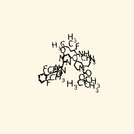 CNC[C@H](F)C[C@H](C)[C@H](C)Oc1cc(O[C@H]2CCN(C(=O)OC(C)(C)C)[C@H](CC#N)C2)nc(-c2noc(C(C)(C)c3c(F)cccc3F)n2)n1